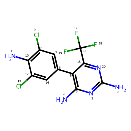 Nc1nc(N)c(-c2cc(Cl)c(N)c(Cl)c2)c(C(F)(F)F)n1